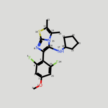 COc1cc(F)c(-c2nc3sc(C)c(C)n3c2NC2CCCC2)c(F)c1